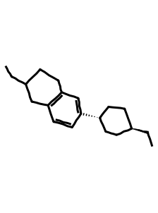 CCC1CCc2cc([C@H]3CC[C@H](CC)CC3)ccc2C1